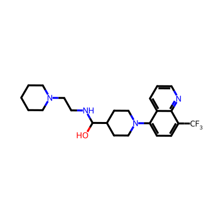 OC(NCCN1CCCCC1)C1CCN(c2ccc(C(F)(F)F)c3ncccc23)CC1